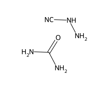 N#CNN.NC(N)=O